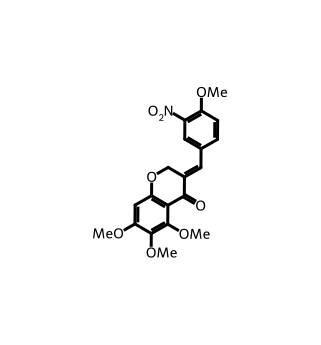 COc1ccc(/C=C2\COc3cc(OC)c(OC)c(OC)c3C2=O)cc1[N+](=O)[O-]